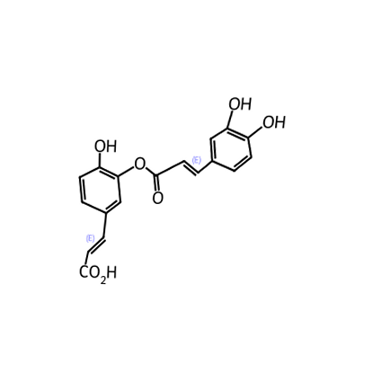 O=C(O)/C=C/c1ccc(O)c(OC(=O)/C=C/c2ccc(O)c(O)c2)c1